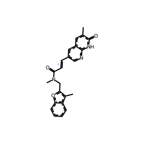 Cc1cc2cc(/C=C/C(=O)N(C)Cc3oc4ccccc4c3C)cnc2[nH]c1=O